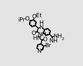 CCOc1cc(C(Nc2ccc(C(=N)N)cc2)C(=O)NNC(=O)c2ccncc2Br)ccc1OC(C)C